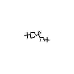 CC(C)(C)NCCC(=O)N1CCN(C(C)(C)C)CC1